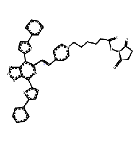 O=C(CCCCC[n+]1ccc(/C=C/c2nc(-c3ccc(-c4ccccc4)s3)c3nonc3c2-c2ccc(-c3ccccc3)s2)cc1)ON1C(=O)CCC1=O